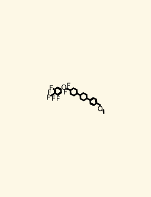 CCOCc1ccc(C2CCC(C3CCC(C(F)(F)Oc4cc(F)c(C(F)(F)F)c(F)c4)CC3)CC2)cc1